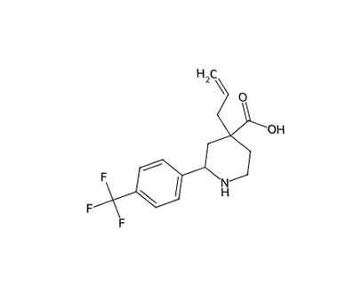 C=CCC1(C(=O)O)CCNC(c2ccc(C(F)(F)F)cc2)C1